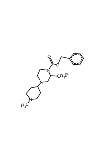 CCOC(=O)C1CN(C2CCN(C)CC2)CCN1C(=O)OCc1ccccc1